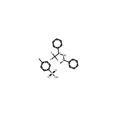 C[C@@H](N[C@H](c1ccccc1)C(F)(F)F)c1ccccc1.Cc1ccc(S(=O)(=O)O)cc1